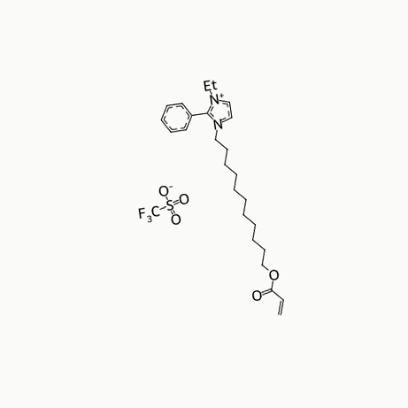 C=CC(=O)OCCCCCCCCCCCn1cc[n+](CC)c1-c1ccccc1.O=S(=O)([O-])C(F)(F)F